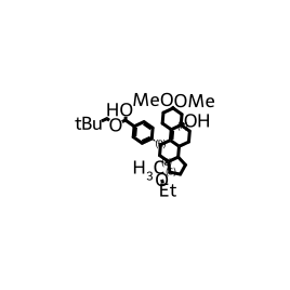 CCO[C@H]1CCC2C3CC[C@@]4(O)CC(OC)(OC)CCC4=C3[C@@H](c3ccc(C(O)OCC(C)(C)C)cc3)C[C@@]21C